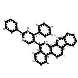 c1ccc(-c2ncc(-c3nc4c(ccc5c6ccccc6sc54)c4ccccc34)c(-c3ccccc3)n2)cc1